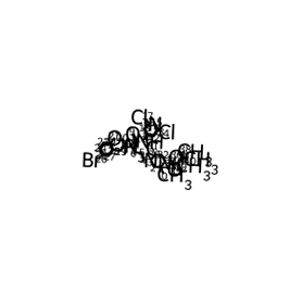 CC1CN(CCCN(C(=O)Nc2cc(Cl)nc(Cl)c2)C2COc3ccc(Br)cc3C2)[C@@H](C)CN1C(=O)OC(C)(C)C